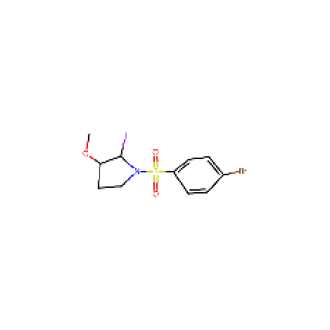 COC1CCN(S(=O)(=O)c2ccc(Br)cc2)C1I